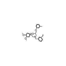 COc1ccc(CCN(Cc2cccc(F)c2)CC(O)COc2cccc(C)c2)cc1OC